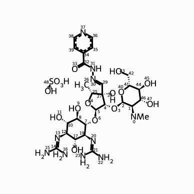 CN[C@H]1[C@@H](O[C@@H]2[C@@H](O[C@H]3[C@H](O)[C@@H](O)[C@H](N=C(N)N)[C@@H](O)[C@@H]3N=C(N)N)O[C@H](C)[C@@]2(O)/C=N/NC(=O)c2ccncc2)O[C@H](CO)[C@@H](O)[C@@H]1O.O=S(=O)(O)O